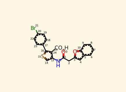 O=C(Cc1cc2ccccc2o1)Nc1csc(-c2ccc(Br)cc2)c1C(=O)O